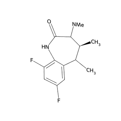 CNC1C(=O)Nc2c(F)cc(F)cc2C(C)[C@@H]1C